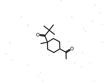 CC(=O)C1CCC(C)(C(=O)C(C)(C)C)CC1